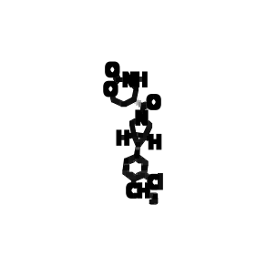 Cc1ccc([C@H]2[C@@H]3CN(C(=O)[C@@H]4CCOC(=O)NC4)C[C@@H]32)cc1Cl